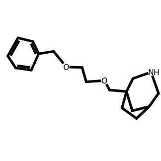 c1ccc(COCCOCC23CCC(CNC2)C3)cc1